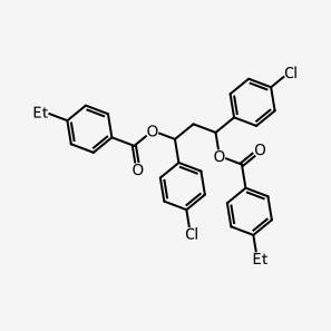 CCc1ccc(C(=O)OC(CC(OC(=O)c2ccc(CC)cc2)c2ccc(Cl)cc2)c2ccc(Cl)cc2)cc1